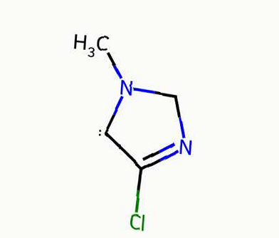 CN1[C]C(Cl)=NC1